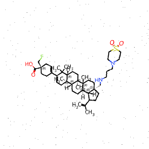 C=C(C)C1CC[C@]2(CNCCCN3CCS(=O)(=O)CC3)CC[C@]3(C)[C@H](CC[C@@H]4[C@@]5(C)CC=C(C6=CC[C@@](CF)(C(=O)O)CC6)C(C)(C)[C@@H]5CC[C@]43C)[C@@H]12